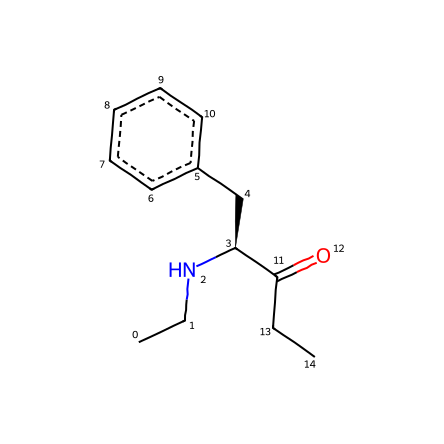 CCN[C@@H](Cc1ccccc1)C(=O)CC